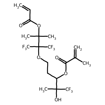 C=CC(=O)OC(C)(C)C(OCCC(OC(=O)C(=C)C)C(C)(O)C(F)(F)F)(C(F)(F)F)C(F)(F)F